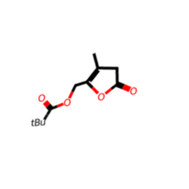 CC1=C(COC(=O)C(C)(C)C)OC(=O)C1